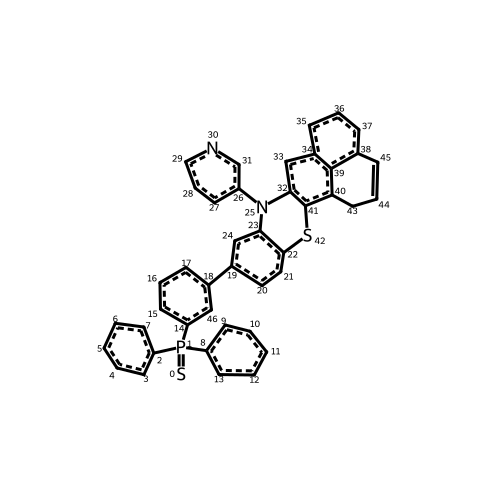 S=P(c1ccccc1)(c1ccccc1)c1cccc(-c2ccc3c(c2)N(c2cccnc2)c2cc4cccc5c4c(c2S3)CC=C5)c1